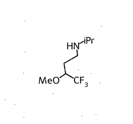 COC(CCNC(C)C)C(F)(F)F